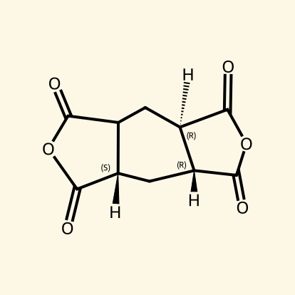 O=C1OC(=O)[C@H]2C[C@H]3C(=O)OC(=O)[C@@H]3CC12